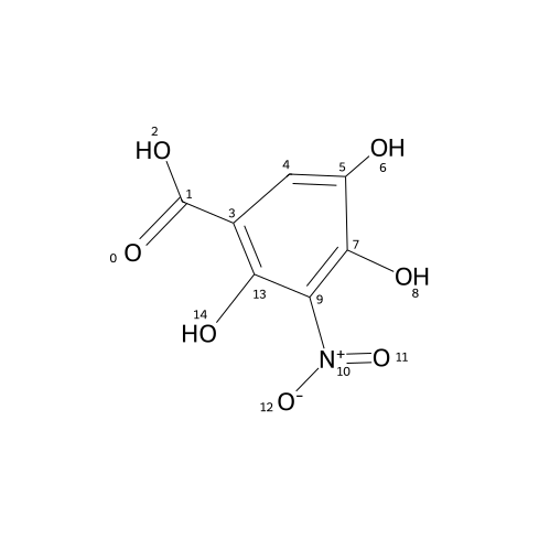 O=C(O)c1cc(O)c(O)c([N+](=O)[O-])c1O